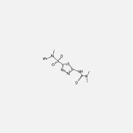 CC(C)N(C)S(=O)(=O)c1nnc(NC(=O)N(C)C)s1